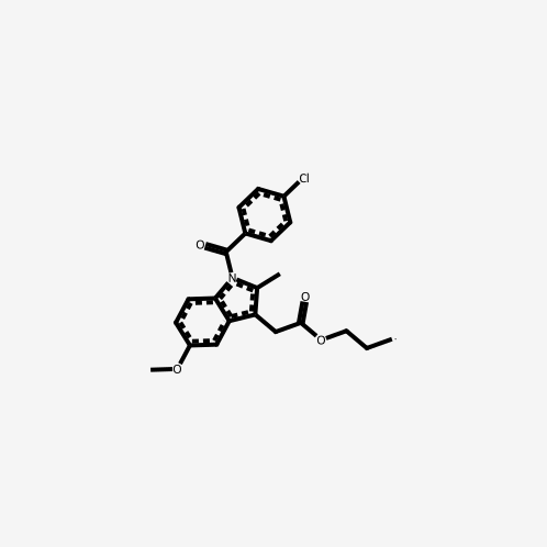 [CH2]CCOC(=O)Cc1c(C)n(C(=O)c2ccc(Cl)cc2)c2ccc(OC)cc12